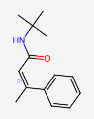 C/C(=C/C(=O)NC(C)(C)C)c1ccccc1